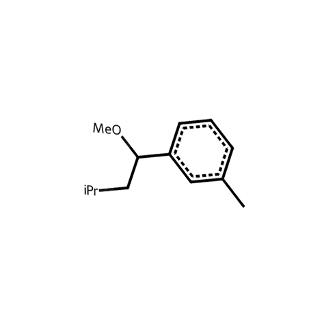 COC(CC(C)C)c1cccc(C)c1